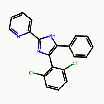 Clc1cccc(Cl)c1-c1nc(-c2ccccn2)[nH]c1-c1ccccc1